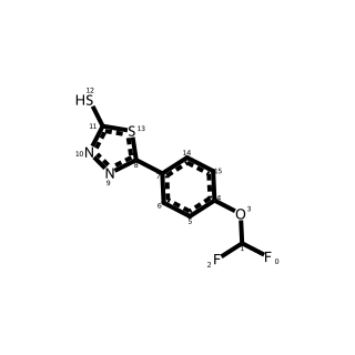 FC(F)Oc1ccc(-c2nnc(S)s2)cc1